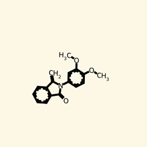 C=C1c2ccccc2C(=O)N1c1ccc(OC)c(OC)c1